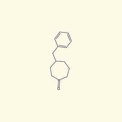 O=C1CCCC(Cc2ccccc2)CC1